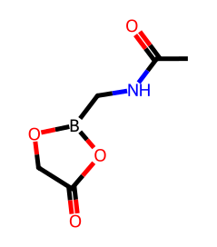 CC(=O)NCB1OCC(=O)O1